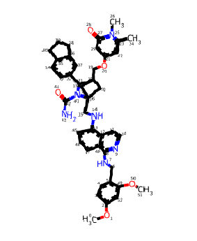 COc1ccc(CNc2nccc3c(NCC45CC(COc6cc(C)n(C)c(=O)c6)(C4)C(c4ccc6c(c4)CCC6)N5C(N)=O)cccc23)c(OC)c1